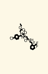 CCOC(=O)Cn1c(-c2ccc(Cl)cc2)nn(CC(=O)NCCc2ccccc2C(F)(F)F)c1=O